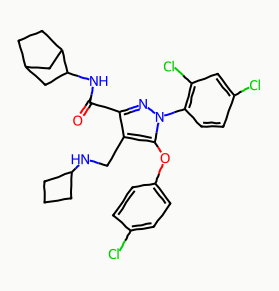 O=C(NC1CC2CCC1C2)c1nn(-c2ccc(Cl)cc2Cl)c(Oc2ccc(Cl)cc2)c1CNC1CCC1